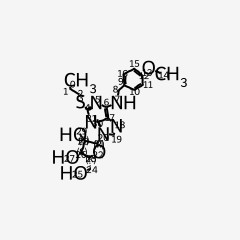 CCCSc1nc(NCc2ccc(OC)cc2)c2ncn([C@@H]3O[C@H](CO)[C@@H](O)[C@H]3O)c2n1